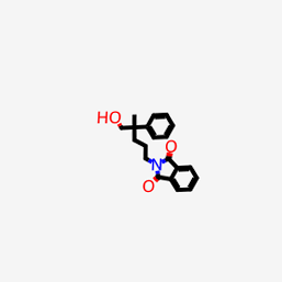 CC(CO)(CCCN1C(=O)c2ccccc2C1=O)c1ccccc1